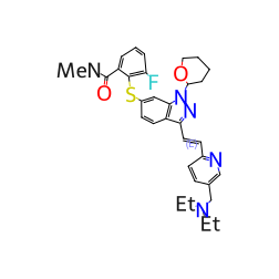 CCN(CC)Cc1ccc(/C=C/c2nn(C3CCCCO3)c3cc(Sc4c(F)cccc4C(=O)NC)ccc23)nc1